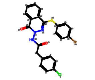 O=C(Cc1ccc(Cl)cc1)Nn1nc(Sc2ccc(Br)cc2)c2ccccc2c1=O